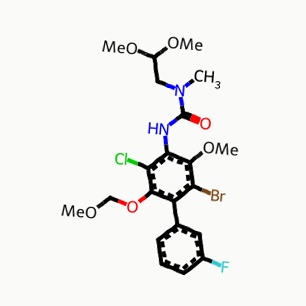 COCOc1c(Cl)c(NC(=O)N(C)CC(OC)OC)c(OC)c(Br)c1-c1cccc(F)c1